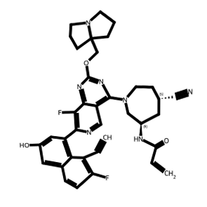 C#Cc1c(F)ccc2cc(O)cc(-c3ncc4c(N5CC[C@H](C#N)C[C@@H](NC(=O)C=C)C5)nc(OCC56CCCN5CCC6)nc4c3F)c12